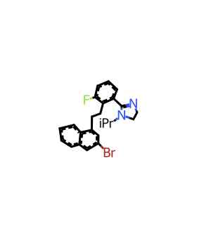 CC(C)N1CCN=C1c1cccc(F)c1CCc1cc(Br)cc2ccccc12